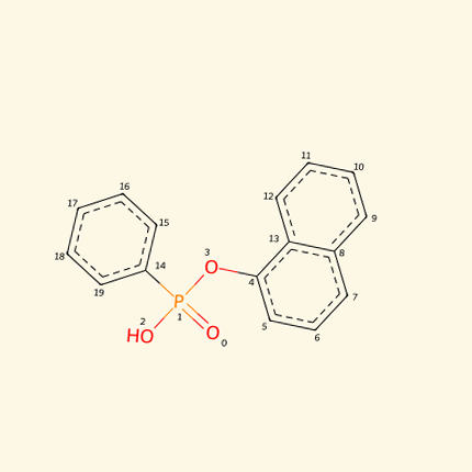 O=P(O)(Oc1cccc2ccccc12)c1ccccc1